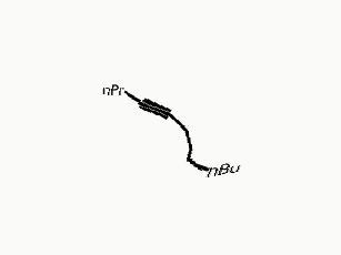 [CH2]CCC#CCCCCCC